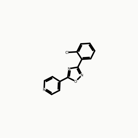 Clc1ccccc1-c1noc(-c2ccncc2)n1